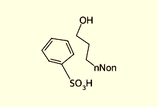 CCCCCCCCCCCCO.O=S(=O)(O)c1ccccc1